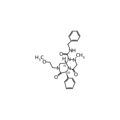 COCCN1C[C@H]2N(C(=O)CN(C)N2C(=O)NCc2ccccc2)[C@@H](c2ccccc2)C1=O